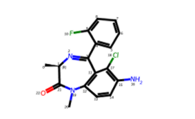 C[C@H]1N=C(c2ccccc2F)c2c(ccc(N)c2Cl)N(C)C1=O